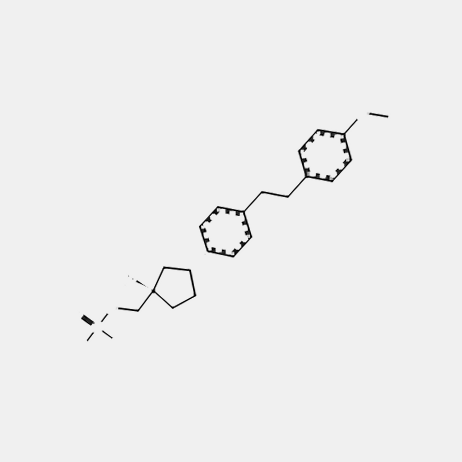 COc1ccc(CCc2ccc([C@@H]3CC[C@](N)(COP(=O)(O)O)C3)cc2)cc1